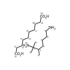 CC(CCCCN)C(C)(C)N.O=C(O)CCCCCCCCC(=O)O